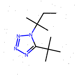 CCC(C)(C)n1nnnc1C(C)(C)C